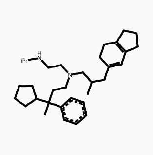 CC(CC1=CC2=C(CCC2)CC1)CN(CCNC(C)C)CCC(C)(c1ccccc1)C1CCCC1